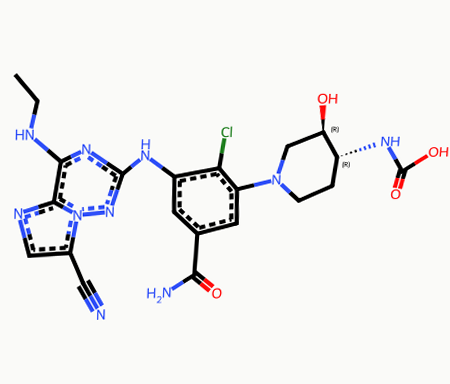 CCNc1nc(Nc2cc(C(N)=O)cc(N3CC[C@@H](NC(=O)O)[C@H](O)C3)c2Cl)nn2c(C#N)cnc12